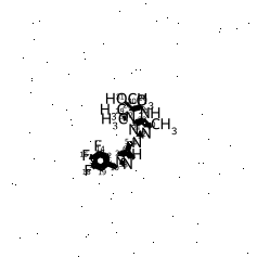 Cc1nc(NCc2cnn(Cc3cc(F)c(F)c(F)c3)c2)nc2c1NC(=O)[C@H](C(C)(C)O)N2C